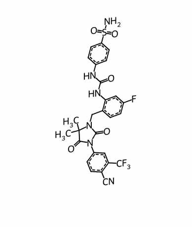 CC1(C)C(=O)N(c2ccc(C#N)c(C(F)(F)F)c2)C(=O)N1Cc1ccc(F)cc1NC(=O)Nc1ccc(S(N)(=O)=O)cc1